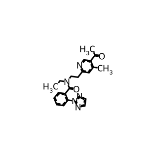 CCN(CCc1cc(C)c(C(C)=O)cn1)C(=O)c1ccccc1-n1nccn1